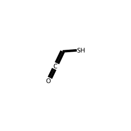 O=C=CS